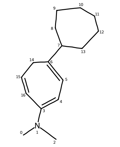 CN(C)C1=CC=C(C2CCCCCC2)CC=C1